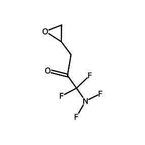 O=C(CC1CO1)C(F)(F)N(F)F